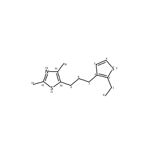 CCc1sccc1CCCc1sc(C)nc1C